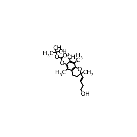 Cc1c(C)c2c(c(C)c1OC(=O)OC(C)(C)C)CCC(C)(C=CCCO)O2